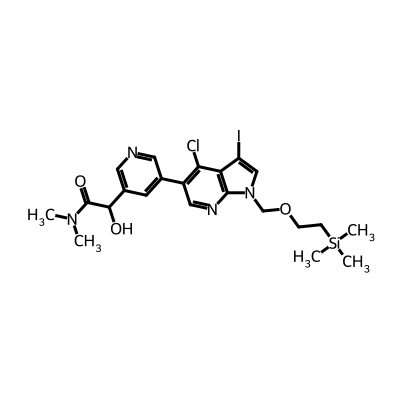 CN(C)C(=O)C(O)c1cncc(-c2cnc3c(c(I)cn3COCC[Si](C)(C)C)c2Cl)c1